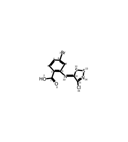 O=C(O)c1ccc(Br)cc1N=c1ssnc1Cl